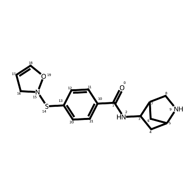 O=C(NC1CC2CC1CN2)c1ccc(SN2CC=CO2)cc1